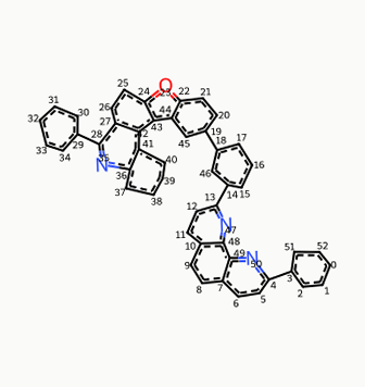 c1ccc(-c2ccc3ccc4ccc(-c5cccc(-c6ccc7oc8ccc9c(-c%10ccccc%10)nc%10ccccc%10c9c8c7c6)c5)nc4c3n2)cc1